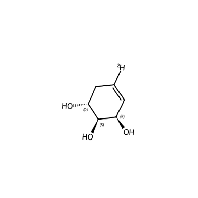 [2H]C1=C[C@@H](O)[C@@H](O)[C@H](O)C1